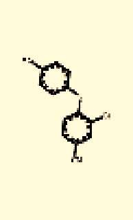 CC(=O)c1ccc(Sc2ccc(C#N)cc2Br)cc1